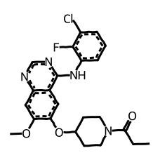 CCC(=O)N1CCC(Oc2cc3c(Nc4cccc(Cl)c4F)ncnc3cc2OC)CC1